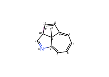 CC12C3=CC=CC=C1N=CC2(I)C=C3